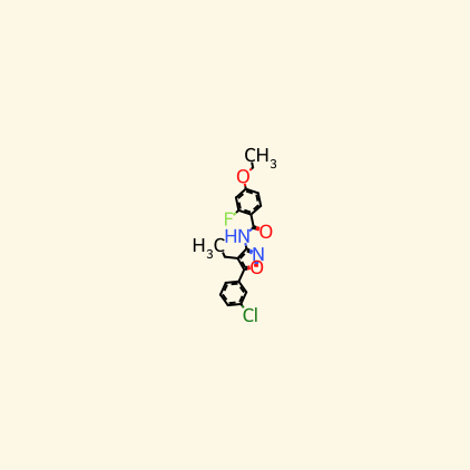 CCOc1ccc(C(=O)Nc2noc(-c3cccc(Cl)c3)c2CC)c(F)c1